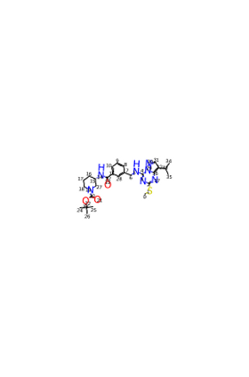 CSc1nc(NCc2cccc(C(=O)N[C@H]3CCCN(C(=O)OC(C)(C)C)C3)c2)n2ncc(C(C)C)c2n1